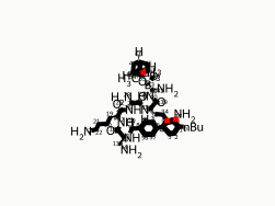 CCCCc1ccc(-c2ccc(C(=O)N[C@@H](CN)C(=O)N[C@@H](CCCCN)C(=O)N[C@@H](N)C(=O)N[C@@H](CCCCN)C(=O)N[C@@H](N)B3OC4C[C@@H]5C[C@@H](C5(C)C)[C@]4(C)O3)cc2)cc1